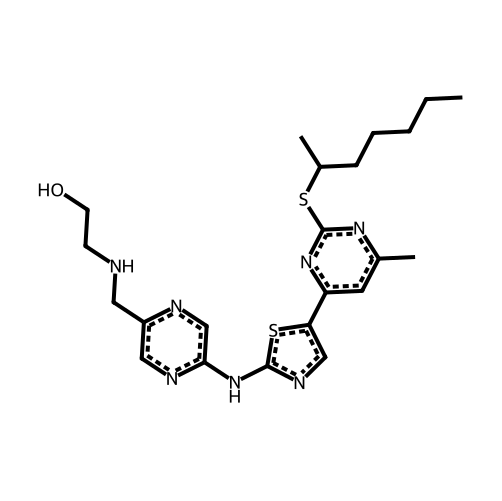 CCCCCC(C)Sc1nc(C)cc(-c2cnc(Nc3cnc(CNCCO)cn3)s2)n1